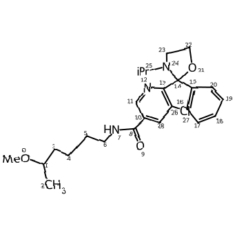 COC(C)CCCCNC(=O)c1cnc(C2(c3ccccc3)OCCN2C(C)C)c(Cl)c1